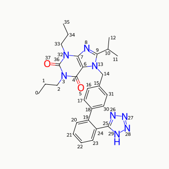 CCCn1c(=O)c2c(nc(C(C)C)n2Cc2ccc(-c3ccccc3-c3nnn[nH]3)cc2)n(CCC)c1=O